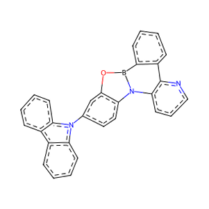 c1ccc2c(c1)B1Oc3cc(-n4c5ccccc5c5ccccc54)ccc3N1c1cccnc1-2